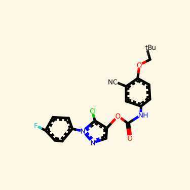 CC(C)(C)COc1ccc(NC(=O)Oc2cnn(-c3ccc(F)cc3)c2Cl)cc1C#N